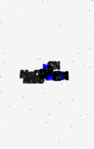 COc1cc2nc(C#N)cc(NC3CCN(C4CC4)CC3)c2cc1OC